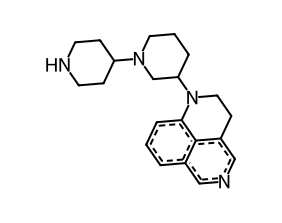 c1cc2c3c(cncc3c1)CCN2C1CCCN(C2CCNCC2)C1